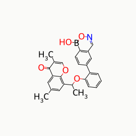 Cc1cc(C(C)Oc2ccccc2-c2ccc3c(c2)C=NOB3O)c2occ(C)c(=O)c2c1